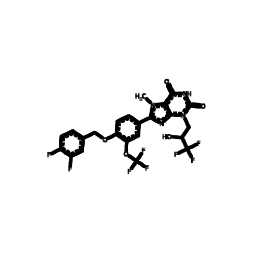 Cn1c(-c2ccc(OCc3ccc(F)c(F)c3)c(OC(F)(F)F)c2)nc2c1c(=O)[nH]c(=O)n2CC(O)C(F)(F)F